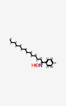 CCCCCCCCCCCCCC(=NO)c1ccccc1